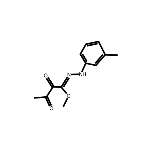 COC(=NNc1cccc(C)c1)C(=O)C(C)=O